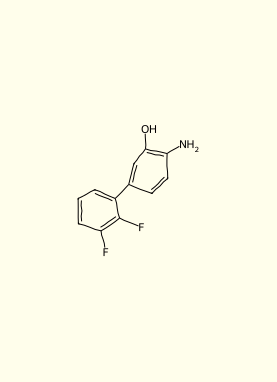 Nc1ccc(-c2cccc(F)c2F)cc1O